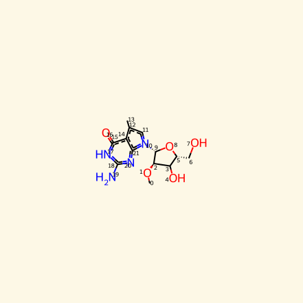 CO[C@@H]1C(O)[C@@H](CO)O[C@H]1n1cc(C)c2c(=O)[nH]c(N)nc21